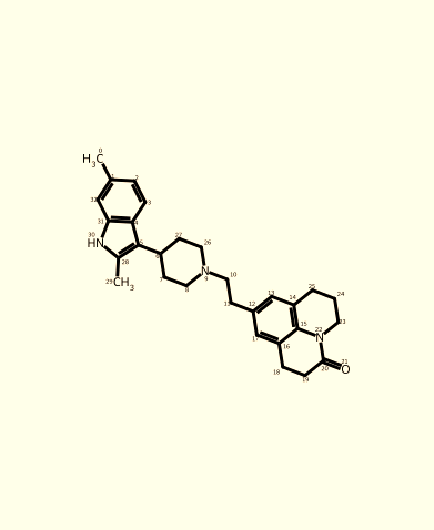 Cc1ccc2c(C3CCN(CCc4cc5c6c(c4)CCC(=O)N6CCC5)CC3)c(C)[nH]c2c1